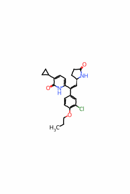 CCCOc1ccc(C(=C[C@H]2CCC(=O)N2)c2ccc(C3CC3)c(=O)[nH]2)cc1Cl